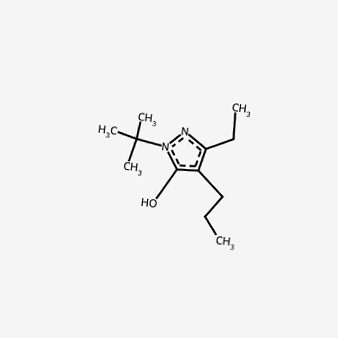 CCCc1c(CC)nn(C(C)(C)C)c1O